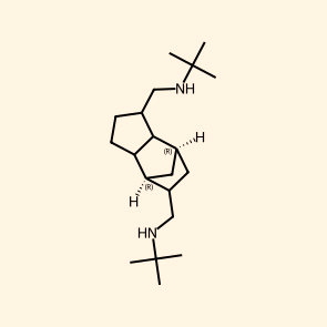 CC(C)(C)NCC1CCC2C1[C@H]1CC(CNC(C)(C)C)[C@@H]2C1